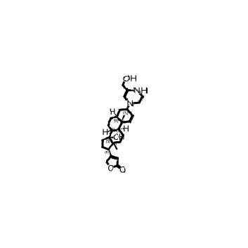 C[C@]12CC[C@H](N3CCNC(CO)C3)C[C@H]1CC[C@@H]1[C@@H]2CC[C@]2(C)[C@@H](C3=CC(=O)OC3)CC[C@]12O